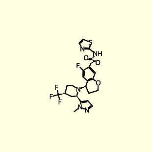 Cn1nccc1[C@H]1C[C@@H](C(F)(F)F)CCN1[C@@H]1CCOc2cc(S(=O)(=O)Nc3nccs3)c(F)cc21